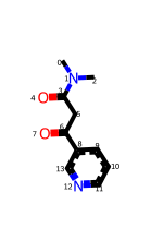 CN(C)C(=O)CC(=O)c1cccnc1